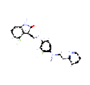 CN(CCc1ccccn1)c1ccc(NC=C2C(=O)Nc3cccc(F)c32)cc1F